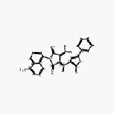 CC(C)=C1C(=O)N(c2cccc3c(N)cccc23)C(=O)/C1=C(\C)c1cc(-c2ccccc2)sc1C